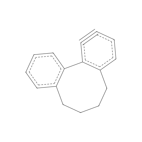 c1ccc2c(c#1)-c1ccccc1CCCC2